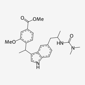 COC(=O)c1ccc(C(C)c2c[nH]c3ccc(CC(C)NC(=O)N(C)C)cc23)c(OC)c1